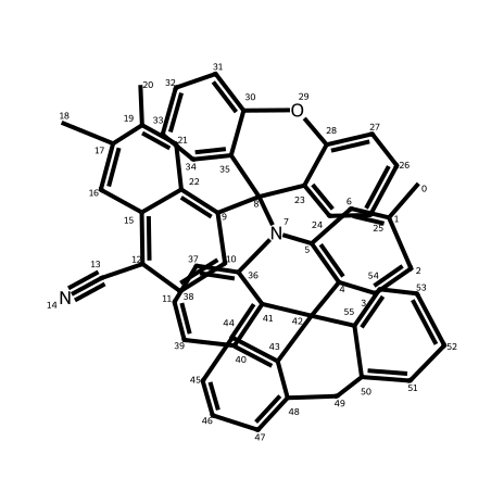 Cc1ccc2c(c1)N(C1(c3ccc(C#N)c4cc(C)c(C)cc34)c3ccccc3Oc3ccccc31)c1ccccc1C21c2ccccc2Cc2ccccc21